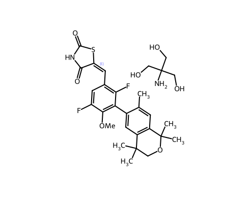 COc1c(F)cc(/C=C2/SC(=O)NC2=O)c(F)c1-c1cc2c(cc1C)C(C)(C)OCC2(C)C.NC(CO)(CO)CO